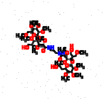 COCC(CO)[C@H](O[C@H]1OC(CCO)[C@@H](OC)C(OC)C1OC)C(OC)[C@@H](OC)C(=O)NCCCNC(=O)[C@@H](OC)[C@H](OC)C(OC1O[C@@H](COC)[C@H](OC)C(OC)C1OC)C(CCO)OC